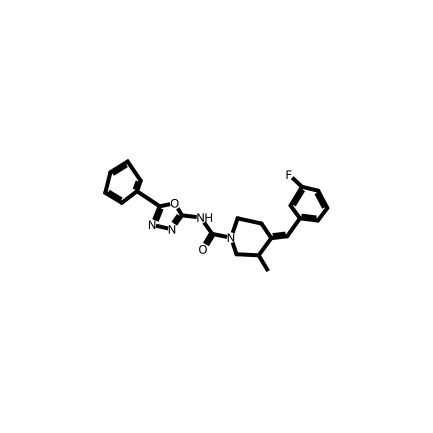 CC1CN(C(=O)Nc2nnc(-c3ccccc3)o2)CCC1=Cc1cccc(F)c1